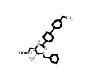 CCc1ccc(-c2ccc(C(=O)N[C@H](CNO)[C@@H](C)OCc3ccccc3)cc2)cc1